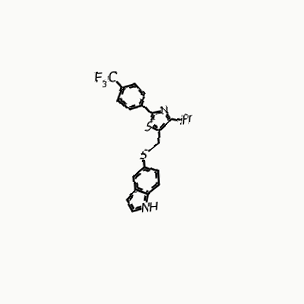 CC(C)c1nc(-c2ccc(C(F)(F)F)cc2)sc1CSc1ccc2[nH]ccc2c1